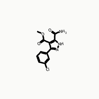 COC(=O)c1c(-c2cccc(Cl)c2)n[nH]c1C(N)=O